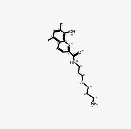 Cc1cc(C)c2ccc(C(=O)NCCCSSCCN)nc2c1O